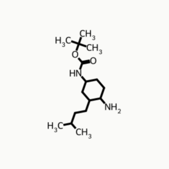 CC(C)CCC1CC(NC(=O)OC(C)(C)C)CCC1N